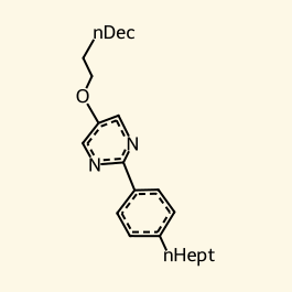 CCCCCCCCCCCCOc1cnc(-c2ccc(CCCCCCC)cc2)nc1